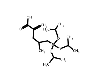 C=C(CC(C)C[Si](OC(C)C)(OC(C)C)OC(C)C)C(=O)O